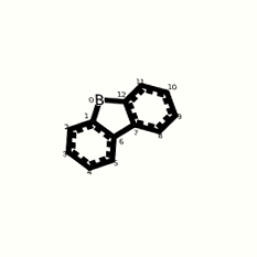 [B]1c2ccccc2-c2ccccc21